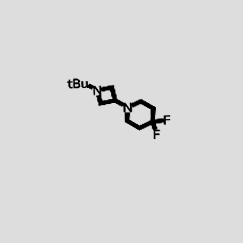 CC(C)(C)N1CC(N2CCC(F)(F)CC2)C1